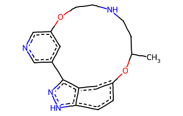 CC1CCNCCOc2cncc(c2)-c2n[nH]c3ccc(cc23)O1